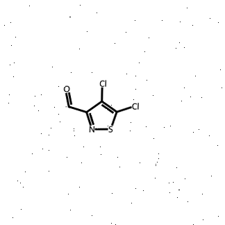 O=[C]c1nsc(Cl)c1Cl